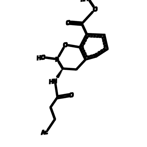 CCCOC(=O)c1cccc2c1OB(O)[C@@H](NC(=O)CCC(C)=O)C2